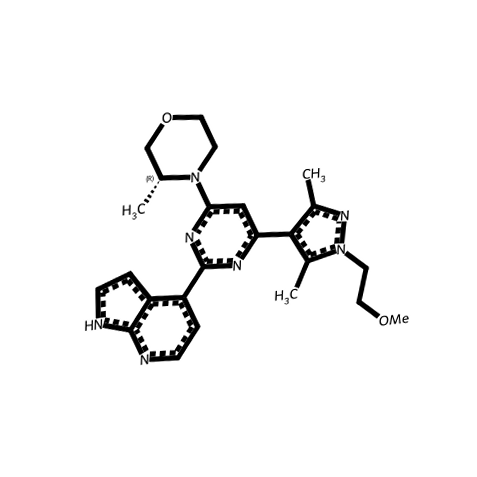 COCCn1nc(C)c(-c2cc(N3CCOC[C@H]3C)nc(-c3ccnc4[nH]ccc34)n2)c1C